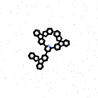 c1ccc2c(c1)CC1(C2)c2ccccc2-c2ccc(-c3cc(-c4ccc5c(c4)C4(Cc6ccccc6C4)c4ccccc4-5)nc(-c4ccc5c(c4)C4(Cc6ccccc6C4)c4ccccc4-5)c3)cc21